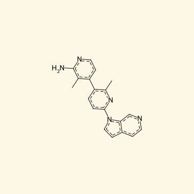 Cc1nc(-n2ccc3ccncc32)ccc1-c1ccnc(N)c1C